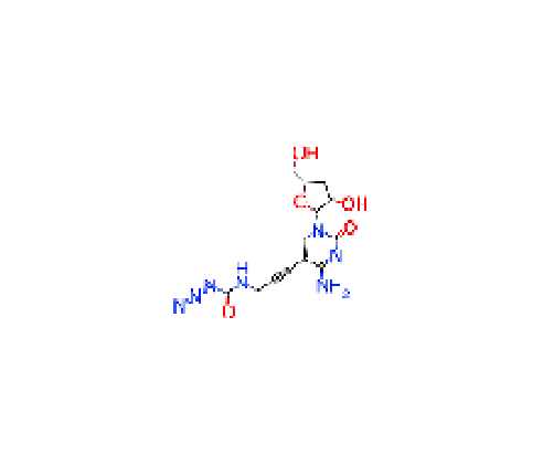 [N-]=[N+]=NC(=O)NCC#Cc1cn([C@@H]2O[C@H](CO)CC2O)c(=O)nc1N